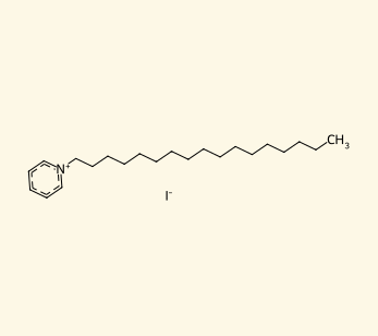 CCCCCCCCCCCCCCCCC[n+]1ccccc1.[I-]